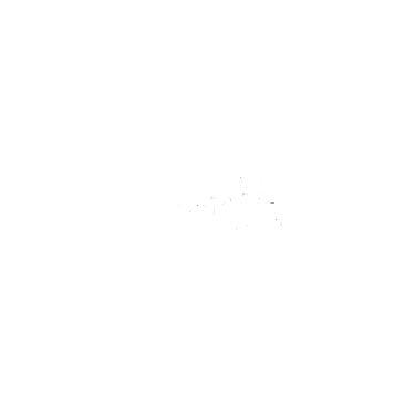 CC[C@]12CC[C@H]3[C@@H](CCC4=CC(=O)CC[C@@H]43)[C@@H]1[C@@H]1C[C@@H]1[C@]2(C)C#N